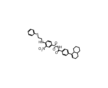 O=C(NS(=O)(=O)c1ccc(NCCSc2ccccc2)c([N+](=O)[O-])c1)c1ccc(C2=CCCC3CCCCC23)cc1